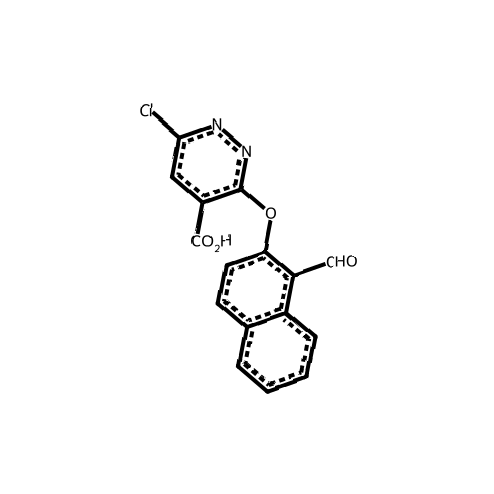 O=Cc1c(Oc2nnc(Cl)cc2C(=O)O)ccc2ccccc12